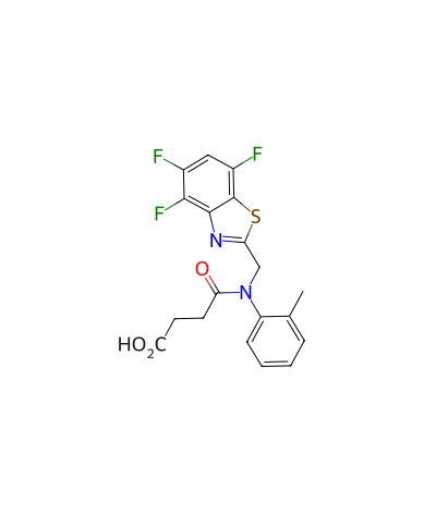 Cc1ccccc1N(Cc1nc2c(F)c(F)cc(F)c2s1)C(=O)CCC(=O)O